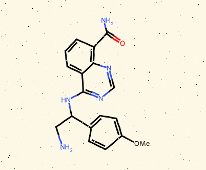 COc1ccc(C(CN)Nc2ncnc3c(C(N)=O)cccc23)cc1